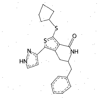 O=C1NC(Cc2ccccc2)Cc2c(-c3cc[nH]n3)sc(SC3CCCC3)c21